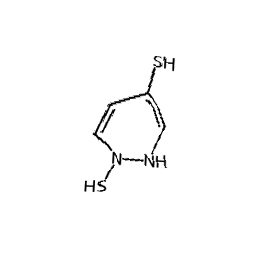 SC1=CNN(S)C=C1